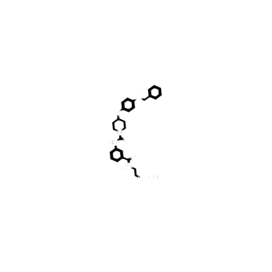 O=C(O)CCNC(=O)c1cccc(NC(=O)N2CCC(Oc3ccc(OCc4ccccc4)cc3)CC2)c1